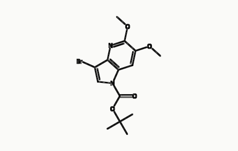 COc1cc2c(nc1OC)c(Br)cn2C(=O)OC(C)(C)C